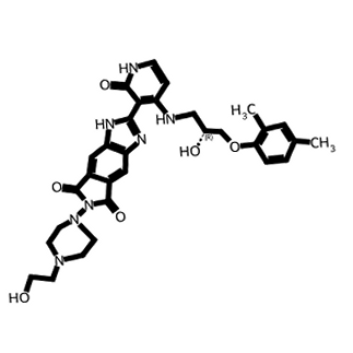 Cc1ccc(OC[C@H](O)CNc2cc[nH]c(=O)c2-c2nc3cc4c(cc3[nH]2)C(=O)N(N2CCN(CCO)CC2)C4=O)c(C)c1